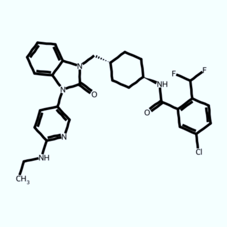 CCNc1ccc(-n2c(=O)n(C[C@H]3CC[C@H](NC(=O)c4cc(Cl)ccc4C(F)F)CC3)c3ccccc32)cn1